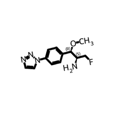 CO[C@H](c1ccc(-n2ccnn2)cc1)[C@H](N)CF